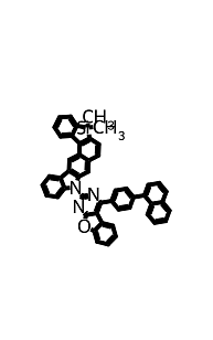 C[Si]1(C)c2ccccc2-c2c1ccc1cc3c(cc21)c1ccccc1n3-c1nc(-c2ccc(-c3cccc4ccccc34)cc2)c2c(n1)oc1ccccc12